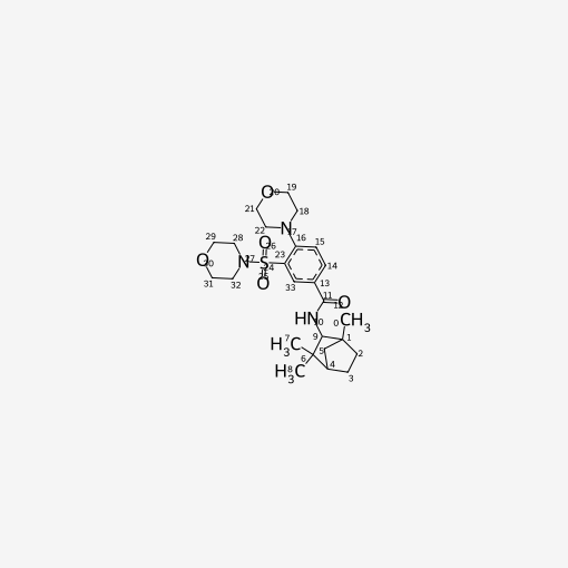 CC12CCC(C1)C(C)(C)C2NC(=O)c1ccc(N2CCOCC2)c(S(=O)(=O)N2CCOCC2)c1